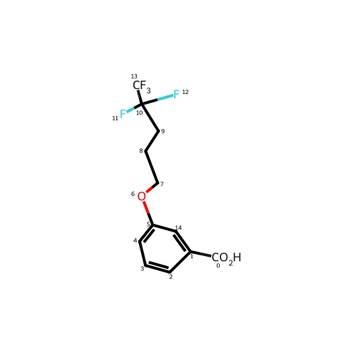 O=C(O)c1cccc(OCCCC(F)(F)C(F)(F)F)c1